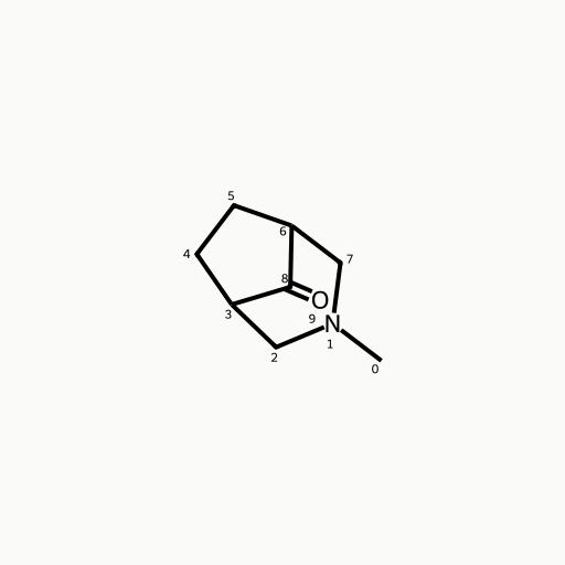 CN1CC2CCC(C1)C2=O